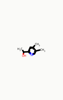 Cc1cnc(C(C)O)cc1C